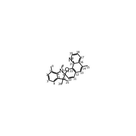 Cc1cccc2c1N(C)C1(C=Cc3cc(C)c4cccnc4c3O1)C2(C)C